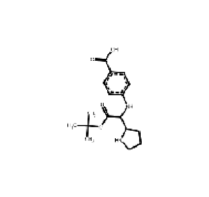 CC(C)(C)OC(=O)C(Nc1ccc(C(=O)O)cc1)C1CCCN1